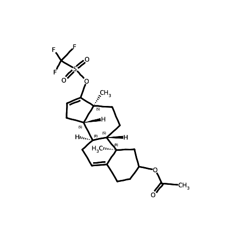 CC(=O)OC1CCC2=CC[C@@H]3[C@H](CC[C@]4(C)C(OS(=O)(=O)C(F)(F)F)=CC[C@@H]34)[C@@]2(C)C1